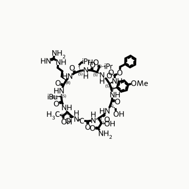 CC[C@H](C)[C@@H]1NC(=O)[C@@H](CCCNC(=N)N)NC(=O)[C@H](CC(C)C)NC(=O)[C@H]([C@H](O)C(C)C)NC(=O)[C@@H](NC(=O)OCc2ccccc2)[C@@H](c2ccc(OC)cc2)NC(=O)[C@H](CO)NC(=O)[C@H]([C@H](O)C(N)=O)NC(=O)CNC(=O)[C@H]([C@H](C)O)NC1=O